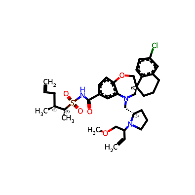 C=CC[C@H](C)[C@@H](C)S(=O)(=O)NC(=O)c1ccc2c(c1)N(C[C@@H]1CCCN1C(C=C)COC)C[C@@]1(CCCc3cc(Cl)ccc31)CO2